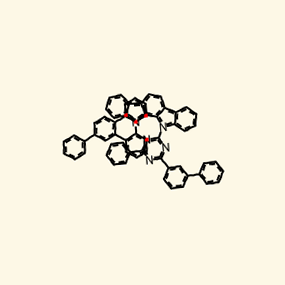 c1ccc(-c2cccc(-c3nc(-c4ccccc4)nc(-n4c5ccccc5c5ccc6c7ccccc7n(-c7ccccc7-c7cc(-c8ccccc8)ccc7-c7ccccc7)c6c54)n3)c2)cc1